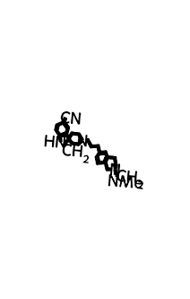 C=C(NC)N1CCc2cc(CCCN3CCC4(CC3)C(=C)Nc3ccc(C#N)cc34)ccc2C1